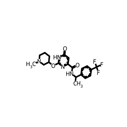 CC(NC(=O)c1cc(=O)[nH]c(OC2CCCN(C)C2)n1)c1ccc(C(F)(F)F)cc1